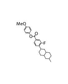 COc1ccc(OC(=O)c2ccc(C3CCC4CC(C)CCC4C3)c(F)c2)cc1